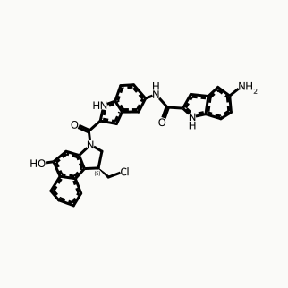 Nc1ccc2[nH]c(C(=O)Nc3ccc4[nH]c(C(=O)N5C[C@@H](CCl)c6c5cc(O)c5ccccc65)cc4c3)cc2c1